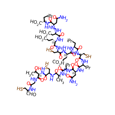 CC(C)CC(NC(=O)[C@H](CCC(=O)O)NC(=O)C(CS)NC(=O)[C@H](CCC(=O)O)NC(=O)C(CC(=O)O)NNC(CC(N)=O)C(=O)N[C@@H](CC(C)C)C(=O)O)C(=O)N[C@@H](CS)C(=O)NC(C(=O)N[C@@H](CC(N)=O)C(=O)NC(C(=O)N[C@@H](C)C(=O)NC(CS)C(=O)N[C@H](C(=O)NCC(=O)N[C@H](C=O)CS)[C@@H](C)O)C(C)C)C(C)C